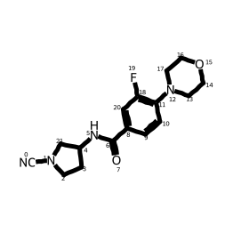 N#CN1CCC(NC(=O)c2ccc(N3CCOCC3)c(F)c2)C1